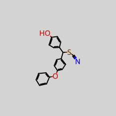 N#CSC(c1ccc(O)cc1)c1ccc(Oc2ccccc2)cc1